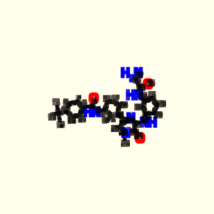 Cc1c(NC(=O)c2ccc(C(C)(C)C)cc2)cccc1-c1cn(C)c(=O)c(Nc2cccc(NC(=O)CN)c2)n1